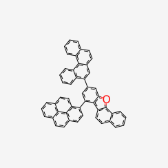 c1ccc2c(c1)ccc1c2oc2cc(-c3cc4ccc5ccccc5c4c4ccccc34)cc(-c3ccc4ccc5cccc6ccc3c4c56)c21